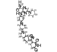 NC(=O)c1ncc(N2CCCCC2)nc1Nc1ccc(N2CCC(N3CCc4ccc5c(C6CCC(=O)NC6=O)noc5c4C3)CC2)cc1